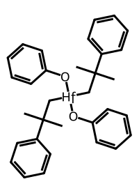 CC(C)([CH2][Hf]([CH2]C(C)(C)c1ccccc1)([O]c1ccccc1)[O]c1ccccc1)c1ccccc1